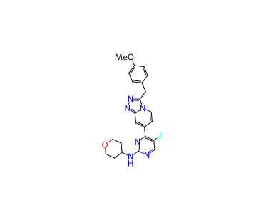 COc1ccc(Cc2nnc3cc(-c4nc(NC5CCOCC5)ncc4F)ccn23)cc1